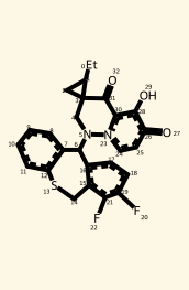 CCC1CC12CN(C1c3ccccc3SCc3c1ccc(F)c3F)n1ccc(=O)c(O)c1C2=O